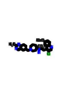 COc1ccc2ncc(Cl)c(CCNC3(C(=O)O)CCCN(CC4CCc5nc(C)ncc5C4)CC3)c2c1